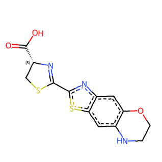 O=C(O)[C@H]1CSC(c2nc3cc4c(cc3s2)NCCO4)=N1